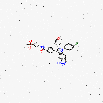 CS(=O)(=O)[C@H]1C[C@@H](NC(=O)c2ccc(-c3c(C4CCOCC4)n(-c4ccc(F)cc4)c4cc5cn[nH]c5cc34)cc2)C1